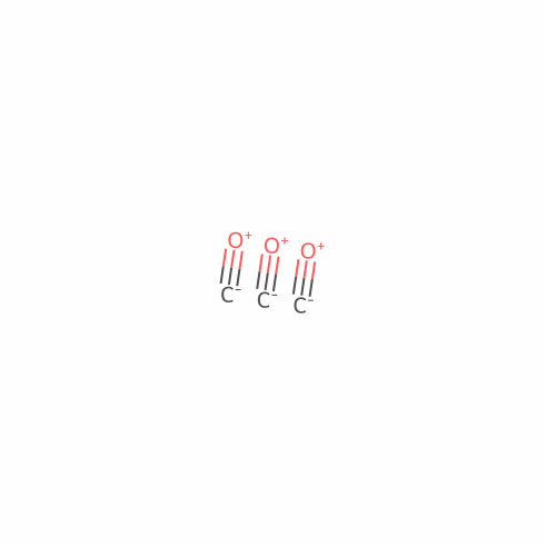 [C-]#[O+].[C-]#[O+].[C-]#[O+]